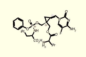 CC(C)CC(N[P@](=O)(OC[C@@]1(COC(=O)C(N)C(C)C)C/C1=C/n1cc(F)c(N)nc1=O)Oc1ccccc1)C(=O)O